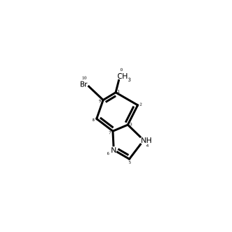 Cc1cc2[nH]cnc2cc1Br